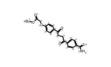 CCCCOC(=O)COc1ccc(C(=O)CCC(=O)c2ccc(C(N)=S)cc2)cc1